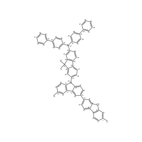 Cc1ccc2c(c1)oc1cc(-c3ccc4c(c3)c3cc(C)ccc3n4-c3ccc4c(c3)C(C)(C)c3cc(N(c5ccc(-c6ccccc6)cc5)c5ccc(-c6ccccc6)cc5)ccc3-4)ccc12